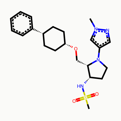 Cn1cc(N2CC[C@H](NS(C)(=O)=O)[C@@H]2CO[C@H]2CC[C@@H](c3ccccc3)CC2)cn1